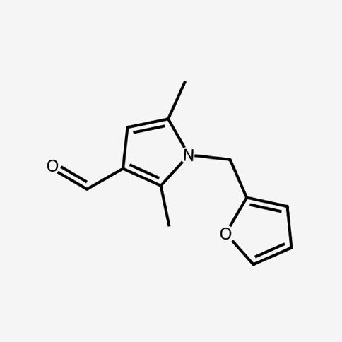 Cc1cc(C=O)c(C)n1Cc1ccco1